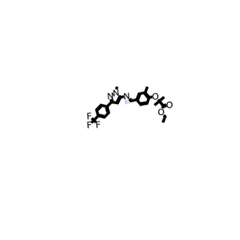 CCOC(=O)C(C)(C)Oc1ccc(/C=N/c2cc(-c3ccc(C(F)(F)F)cc3)nn2C)cc1C